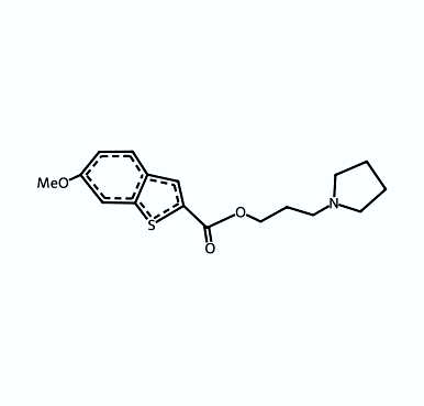 COc1ccc2cc(C(=O)OCCCN3CCCC3)sc2c1